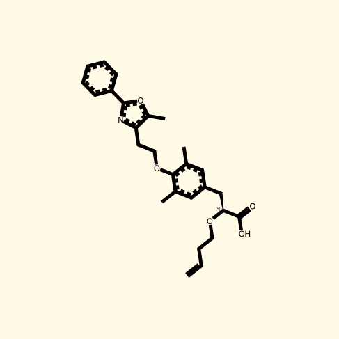 C=CCCO[C@@H](Cc1cc(C)c(OCCc2nc(-c3ccccc3)oc2C)c(C)c1)C(=O)O